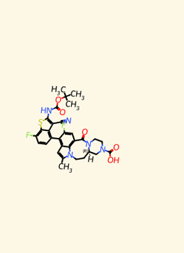 Cc1cc2c(-c3ccc(F)c4sc(NC(=O)OC(C)(C)C)c(C#N)c34)c(F)cc3c2n1CC[C@@H]1CN(C(=O)O)CCN1C3=O